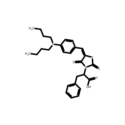 CCCCN(CCCC)c1ccc(C=C2SC(=S)N(C(Cc3ccccc3)C(=O)O)C2=O)cc1